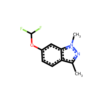 Cc1nn(C)c2cc(OC(F)F)ccc12